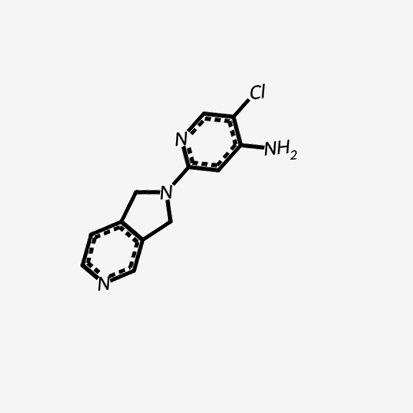 Nc1cc(N2Cc3ccncc3C2)ncc1Cl